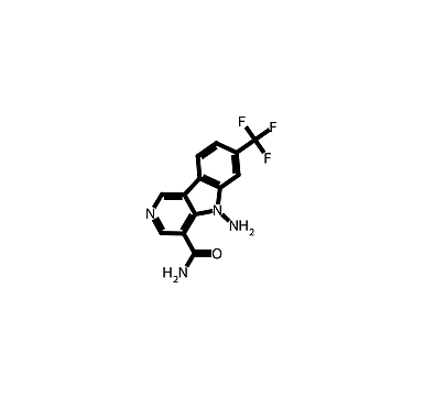 NC(=O)c1cncc2c3ccc(C(F)(F)F)cc3n(N)c12